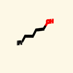 CC(C)C=CC=CO